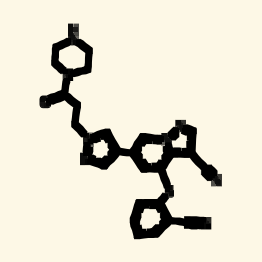 N#Cc1ccccc1Sc1cc(-c2cnn(CCC(=O)N3CCNCC3)c2)cn2ncc(C#N)c12